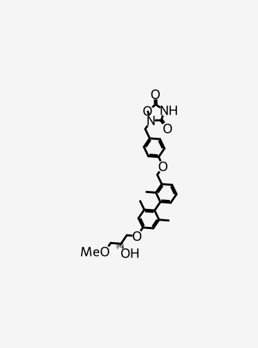 COC[C@@H](O)COc1cc(C)c(-c2cccc(COc3ccc(Cn4oc(=O)[nH]c4=O)cc3)c2C)c(C)c1